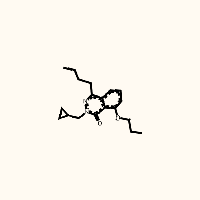 CCCCc1nn(CC2CC2)c(=O)c2c(OCCC)cccc12